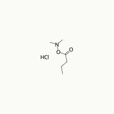 CCCC(=O)ON(C)C.Cl